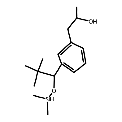 CC(O)Cc1cccc(C(O[SiH](C)C)C(C)(C)C)c1